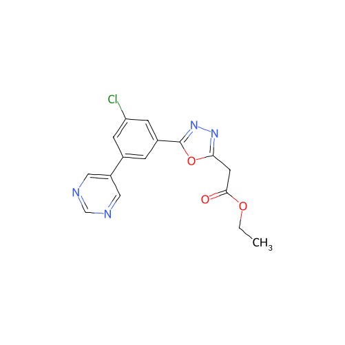 CCOC(=O)Cc1nnc(-c2cc(Cl)cc(-c3cncnc3)c2)o1